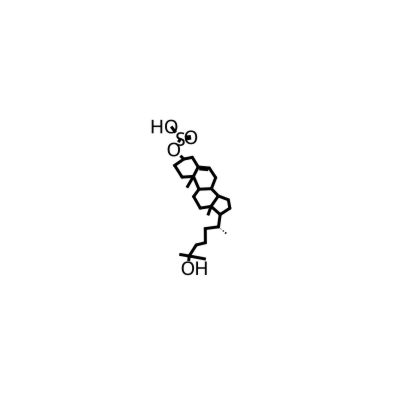 C[C@H](CCCC(C)(C)O)C1CCC2C3CC=C4CC(OS(=O)O)CCC4(C)C3CCC21C